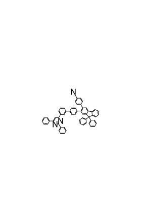 N#Cc1ccc(-c2cc3c(cc2-c2ccc(-c4cccc(-c5cc(-c6ccccc6)nc(-c6ccccc6)n5)c4)cc2)C(c2ccccc2)(c2ccccc2)c2ccccc2-3)cc1